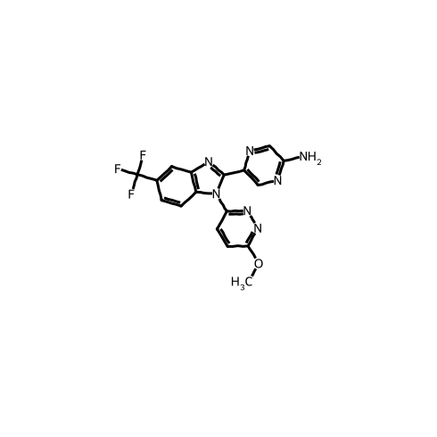 COc1ccc(-n2c(-c3cnc(N)cn3)nc3cc(C(F)(F)F)ccc32)nn1